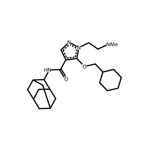 CNCCn1ncc(C(=O)NC2C3CC4CC(C3)CC2C4)c1OCC1CCCCC1